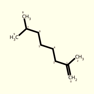 C=C(C)CCCCC(C)C